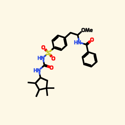 COC(Cc1ccc(S(=O)(=O)NC(=O)NC2CC(C)(C)C(C)C2C)cc1)NC(=O)c1ccccc1